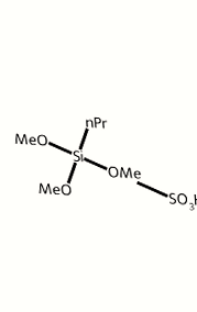 CCC[Si](OC)(OC)OC.CS(=O)(=O)O